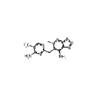 Cc1nc2nonc2c(N)c1Cc1ncc(C(F)(F)F)c(N)n1